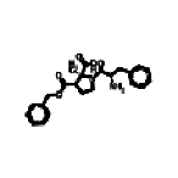 C[C@@]1(C(=O)O)C(C(=O)OCc2ccccc2)CCN1C(=O)[C@H](N)Cc1ccccc1